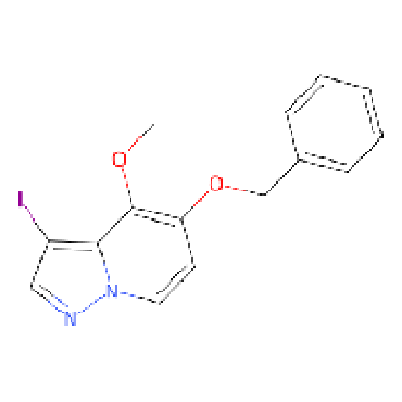 COc1c(OCc2ccccc2)ccn2ncc(I)c12